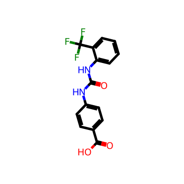 O=C(Nc1ccc(C(=O)O)cc1)Nc1ccccc1C(F)(F)F